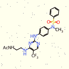 CC(=O)NCCNc1nc(Nc2ccc(N(C)S(=O)(=O)c3ccccc3)cc2)ncc1C(F)(F)F